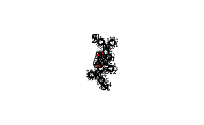 C[Si](C)(C)c1ccc(N(c2ccccc2)c2ccc3c4c(ccc3c2)-c2c(c3ccc(N(c5ccccc5)c5ccc([Si](C)(C)C)cc5)cc3c3ccccc23)C42c3ccccc3-c3ccccc32)cc1